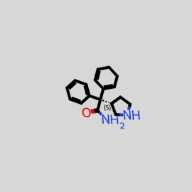 NC(=O)C(C1=CCCC=C1)(c1ccccc1)[C@@H]1CCNC1